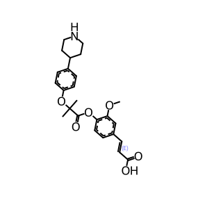 COc1cc(/C=C/C(=O)O)ccc1OC(=O)C(C)(C)Oc1ccc(C2CCNCC2)cc1